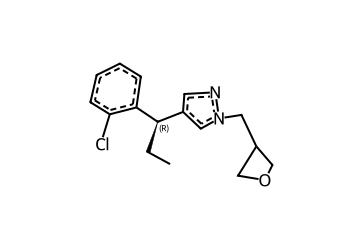 CC[C@H](c1cnn(CC2COC2)c1)c1ccccc1Cl